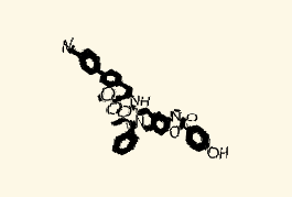 CC[C@H](c1ccccc1)N1Cc2cc3c(cc2C[C@H]1C(=O)NC(Cc1ccc(-c2ccc(C#N)cc2)cc1)C(=O)OC)N(C)C(=O)[C@@H](c1ccc(O)cc1)O3